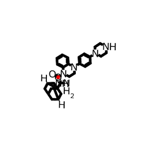 NC(=O)C12CC3C[C@H](C1)C(NC(=O)N1CCN(c4ccc(N5CCNCC5)cc4)c4ccccc41)[C@@H](C3)C2